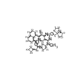 CN(c1nc(OCC23CCCN2CCC3)nc2c(F)c(-c3cccc4cccc(Cl)c34)ncc12)C1CCN(C(=O)C=C2CCC2)C1